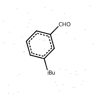 CCC(C)c1cccc(C=O)c1